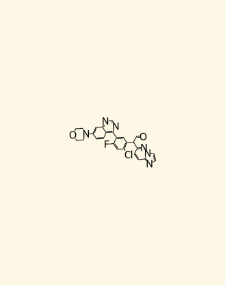 O=CC(c1ccc2nccn2n1)c1cc(-c2ncnc3cc(N4CCOCC4)ccc23)c(F)cc1Cl